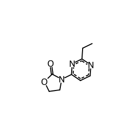 CCc1nccc(N2CCOC2=O)n1